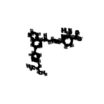 CC(C)Cn1cc(-c2cc3nccn3c(NCCNc3ccc([N+](=O)[O-])c(N)n3)n2)cn1